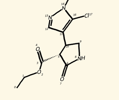 CCOC(=O)[C@H]1C(=O)NCC1c1cnn(C)c1Cl